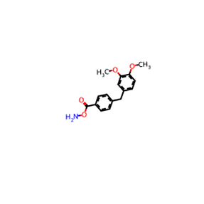 COc1ccc(Cc2ccc(C(=O)ON)cc2)cc1OC